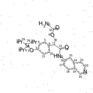 CC(C)[Si](Oc1ccc(C(COC(N)=O)C(=O)Nc2ccc3cnccc3c2)cc1)(C(C)C)C(C)C